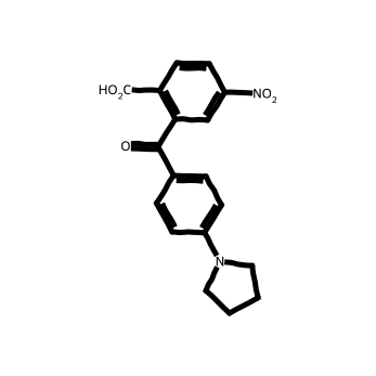 O=C(O)c1ccc([N+](=O)[O-])cc1C(=O)c1ccc(N2CCCC2)cc1